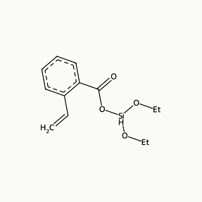 C=Cc1ccccc1C(=O)O[SiH](OCC)OCC